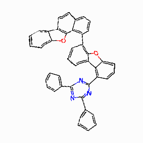 c1ccc(-c2nc(-c3ccccc3)nc(-c3cccc4oc5c(-c6cccc7ccc8c9ccccc9oc8c67)cccc5c34)n2)cc1